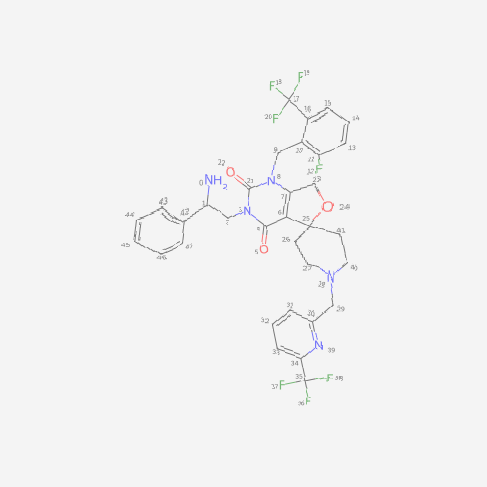 NC(Cn1c(=O)c2c(n(Cc3c(F)cccc3C(F)(F)F)c1=O)COC21CCN(Cc2cccc(C(F)(F)F)n2)CC1)c1ccccc1